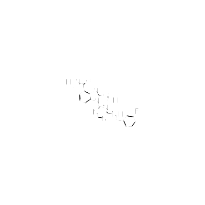 COc1nc2c(C(N)=O)cccc2n1-c1ncnc(NCc2cccc(F)c2)n1